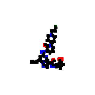 CNc1cc(Nc2cccn(C3CCN(CCF)CC3)c2=O)nc2c(C(=O)N[C@H]3CC[C@H]3O)cnn12